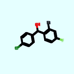 CCc1cc(F)ccc1C(O)c1ccc(Cl)cc1